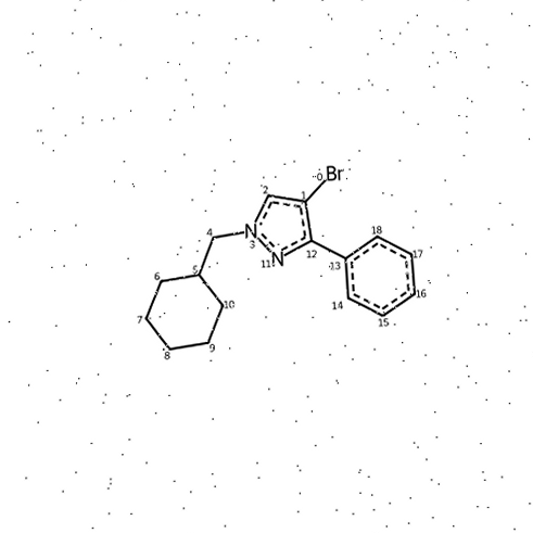 Brc1cn(CC2CC[CH]CC2)nc1-c1ccccc1